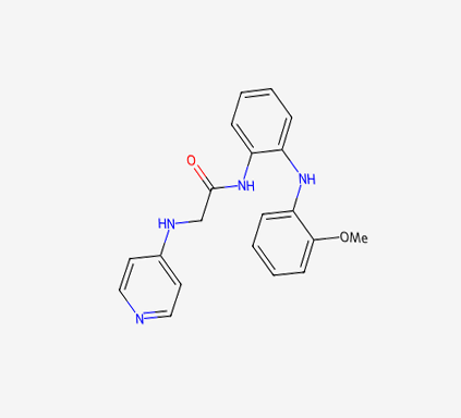 COc1ccccc1Nc1ccccc1NC(=O)CNc1ccncc1